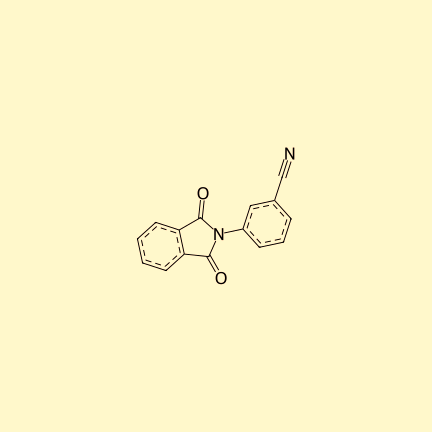 N#Cc1cccc(N2C(=O)c3ccccc3C2=O)c1